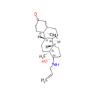 C=CCN[C@]1(O)CC[C@H]2[C@@H]3CCC4=CC(=O)CC[C@]4(C)[C@H]3CC[C@@]21C